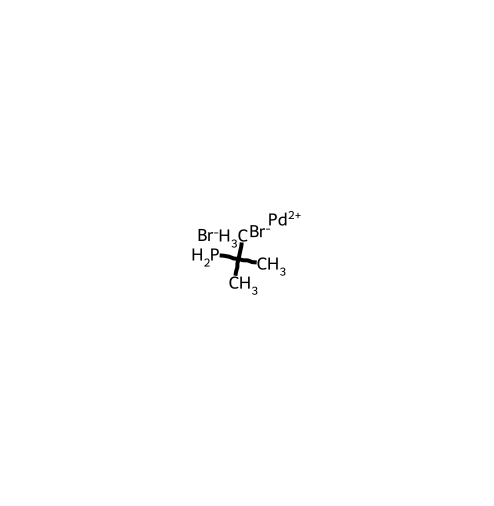 CC(C)(C)P.[Br-].[Br-].[Pd+2]